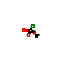 [K+].[O]=[Cr-](=[O])(=[O])[Cl]